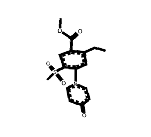 CCc1cc(-n2ccc(=O)cc2)c(S(C)(=O)=O)cc1C(=O)OC